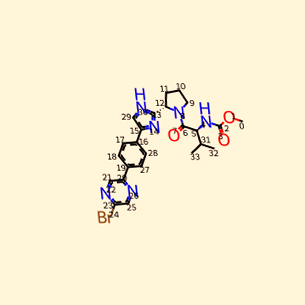 COC(=O)N[C@H](C(=O)N1CCC[C@H]1c1nc(-c2ccc(-c3cnc(Br)cn3)cc2)c[nH]1)C(C)C